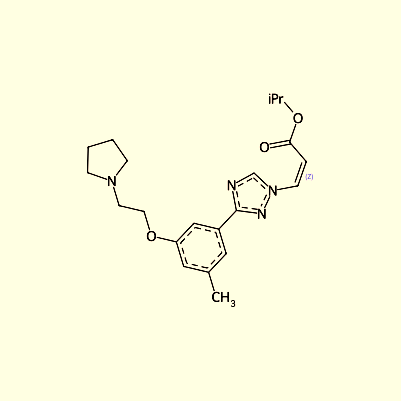 Cc1cc(OCCN2CCCC2)cc(-c2ncn(/C=C\C(=O)OC(C)C)n2)c1